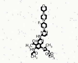 C=CC(=O)Nc1cc(N2C[C@H](CS(C)(=O)=O)[C@H]2C)c2cnc(Nc3ccnc(N4CC[C@@H](N5CCN(C6CCOCC6)CC5)[C@@H](F)C4)n3)cc2c1C(C)C